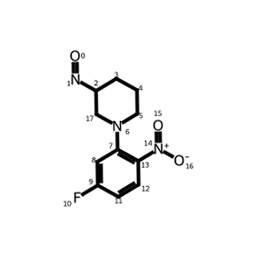 O=NC1CCCN(c2cc(F)ccc2[N+](=O)[O-])C1